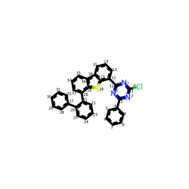 Clc1nc(-c2ccccc2)nc(-c2cccc3c2sc2c(-c4ccccc4-c4ccccc4)cccc23)n1